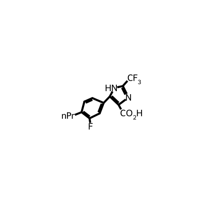 CCCc1ccc(-c2[nH]c(C(F)(F)F)nc2C(=O)O)cc1F